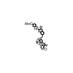 COc1ccc(CNc2nc3cc(CCC4=C[C@@H](n5cc(F)c6c(Cl)ncnc65)[C@@H]5OC(C)(C)O[C@H]45)ccc3cc2Br)cc1